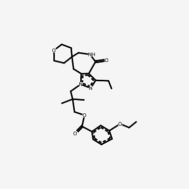 CCOc1cccc(C(=O)OCC(C)(C)Cn2nc(CC)c3c2CC2(CCOCC2)CNC3=O)c1